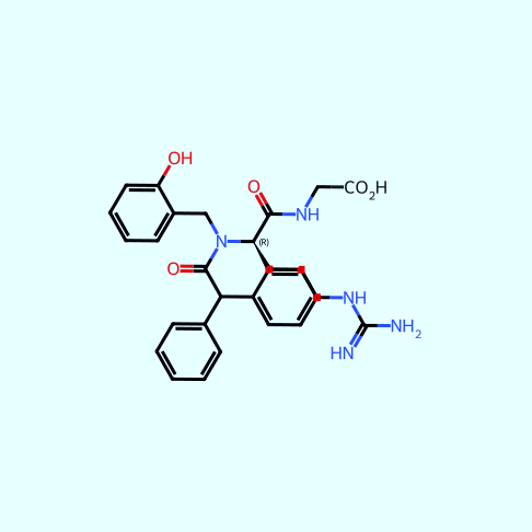 N=C(N)NCCC[C@H](C(=O)NCC(=O)O)N(Cc1ccccc1O)C(=O)C(c1ccccc1)c1ccccc1